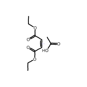 CC(=O)O.CCOC(=O)/C=C\C(=O)OCC